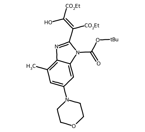 CCOC(=O)C(O)=C(C(=O)OCC)c1nc2c(C)cc(N3CCOCC3)cc2n1C(=O)OC(C)(C)C